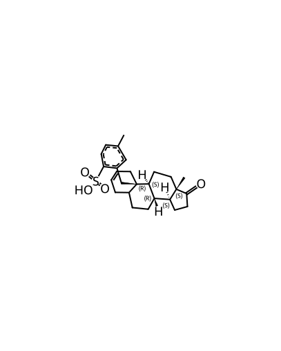 Cc1ccc(S(=O)(=O)O)c(C[C@]23CC=CCC2CC[C@@H]2[C@@H]3CC[C@]3(C)C(=O)CC[C@@H]23)c1